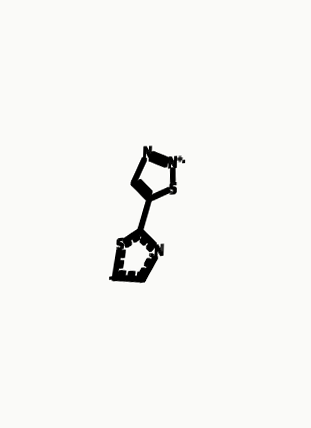 [c]1cnc(C2=CN=[N+]S2)s1